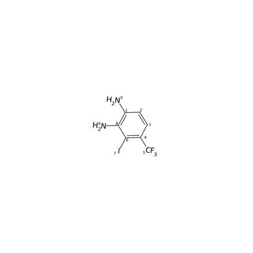 Nc1ccc(C(F)(F)F)c(I)c1N